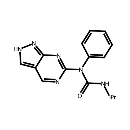 CC(C)NC(=O)N(c1ccccc1)c1ncc2c[nH]nc2n1